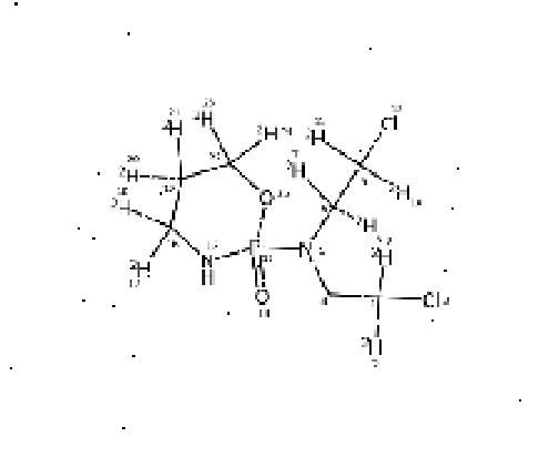 [2H]C([2H])(Cl)CN(C([2H])([2H])C([2H])([2H])Cl)P1(=O)NC([2H])([2H])C([2H])([2H])C([2H])([2H])O1